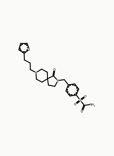 NC(=O)S(=O)(=O)c1ccc(CN2CCC3(CCN(CC[CH]c4cccs4)CC3)C2=O)cc1